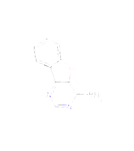 Bc1ncnc2c1oc1ccccc12